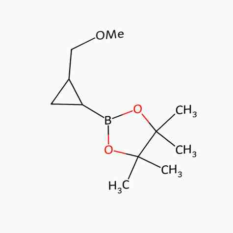 COCC1CC1B1OC(C)(C)C(C)(C)O1